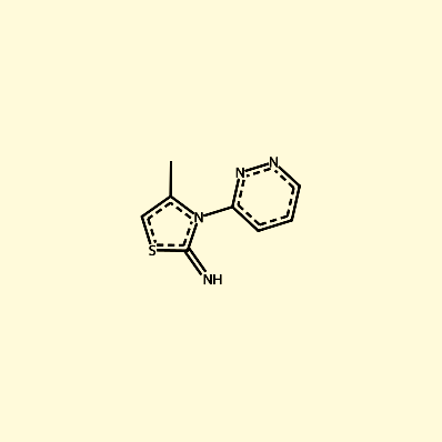 Cc1csc(=N)n1-c1cccnn1